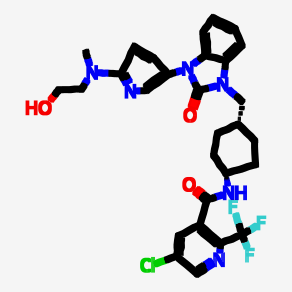 CN(CCO)c1ccc(-n2c(=O)n(C[C@H]3CC[C@H](NC(=O)c4cc(Cl)cnc4C(F)(F)F)CC3)c3ccccc32)cn1